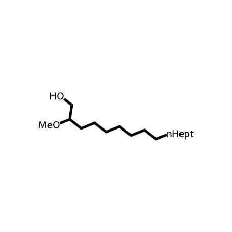 CCCCCCCCCCCCCCC(CO)OC